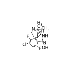 CC1(C)[C@H](N/C(=N/O)c2cc(F)c(Cl)cc2F)C2CCN1CC2